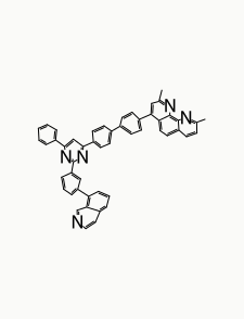 Cc1ccc2ccc3c(-c4ccc(-c5ccc(-c6cc(-c7ccccc7)nc(-c7cccc(-c8cccc9ccncc89)c7)n6)cc5)cc4)cc(C)nc3c2n1